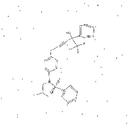 CC(C)CN(c1ccc(CC#CC(O)(c2ccccc2)C(F)(F)F)cc1)S(=O)(=O)c1ccccc1